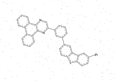 CC(C)c1ccc2sc3ccc(-c4cccc(-c5cnc6c7ccccc7c7ccccc7c6n5)c4)cc3c2c1